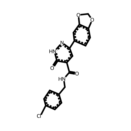 O=C(NCc1ccc(Cl)cc1)c1cc(-c2ccc3c(c2)OCO3)n[nH]c1=O